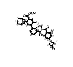 COC(=O)c1cc(F)c(-c2cccc3c2OCN(C(=O)c2c(Cl)cc(N4CC(=O)[C@H]4C)cc2Cl)C3)cc1N1C2CCC1COC2